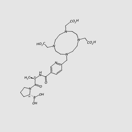 C[C@@H](NC(=O)c1ccc(CN2CCN(CC(=O)O)CCN(CC(=O)O)CCN(CC(=O)O)CC2)nc1)C(=O)N1CCC[C@H]1B(O)O